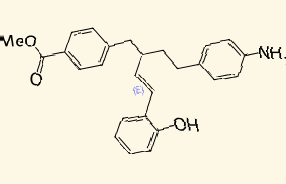 COC(=O)c1ccc(CC(/C=C/c2ccccc2O)CCc2ccc(N)cc2)cc1